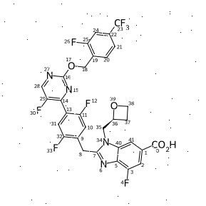 O=C(O)c1cc(F)c2nc(Cc3cc(F)c(-c4nc(OCc5ccc(C(F)(F)F)cc5F)ncc4F)cc3F)n(C[C@@H]3CCO3)c2c1